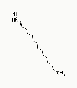 [2H]NC=CCCCCCCCCCCCCC